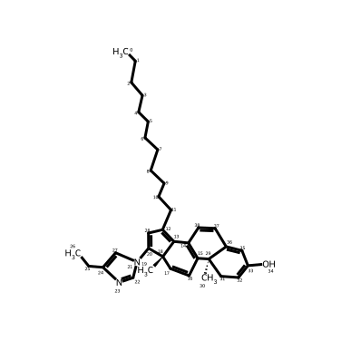 CCCCCCCCCCCCC1=C2C3=C(C=C[C@]2(C)C(n2cnc(CC)c2)=C1)[C@]1(C)CC=C(O)C=C1C=C3